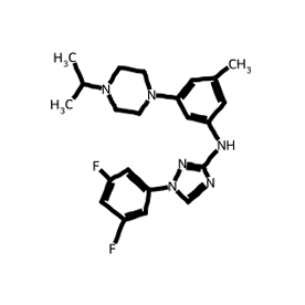 Cc1cc(Nc2ncn(-c3cc(F)cc(F)c3)n2)cc(N2CCN(C(C)C)CC2)c1